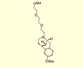 COCCOCCOCCN1CC[C@]23CCCC[C@H]2[C@H]1Cc1ccc(OC)cc13